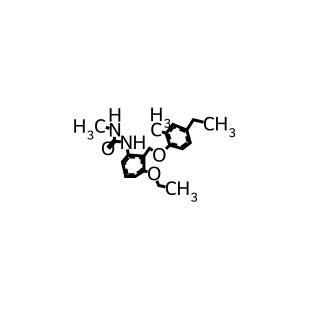 CCOc1cccc(NC(=O)NC)c1COc1ccc(CC)cc1C